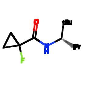 CC(C)[C@H](NC(=O)C1(F)CC1)C(C)(C)C